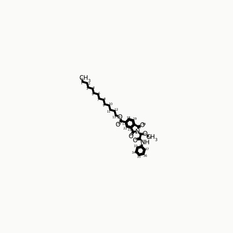 CCCCCCCCCCCCCCOC(=O)c1ccc2c(c1)C(=O)N(C(OC)C(=O)Nc1ccccc1)C2=O